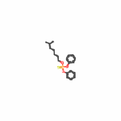 CC(C)CCCCCOP(=S)(Oc1ccccc1)Oc1ccccc1